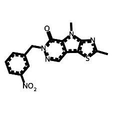 Cc1nc2c(s1)c1cnn(Cc3cccc([N+](=O)[O-])c3)c(=O)c1n2C